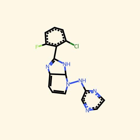 Fc1cccc(Cl)c1C1=NC2=CC=CN(Nc3cnccn3)C2N1